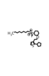 C1CCCCC1.CCCCCCCCS(=O)(=O)OF.O=CCc1ccsc1C1CCCC1